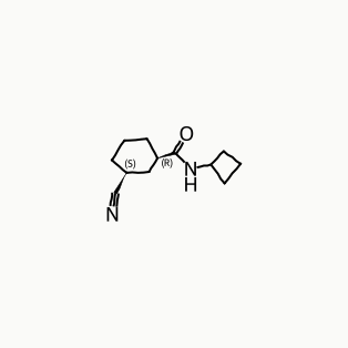 N#C[C@H]1CCC[C@@H](C(=O)NC2CCC2)C1